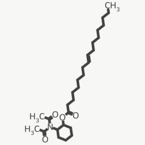 CCCCCCCCC=CCCCCCCCC(=O)OC1CCCCC1N(C(C)=O)C(C)=O